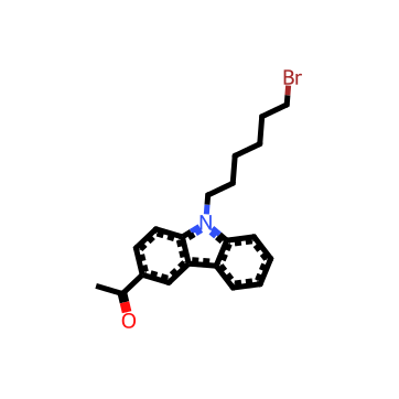 CC(=O)c1ccc2c(c1)c1ccccc1n2CCCCCCBr